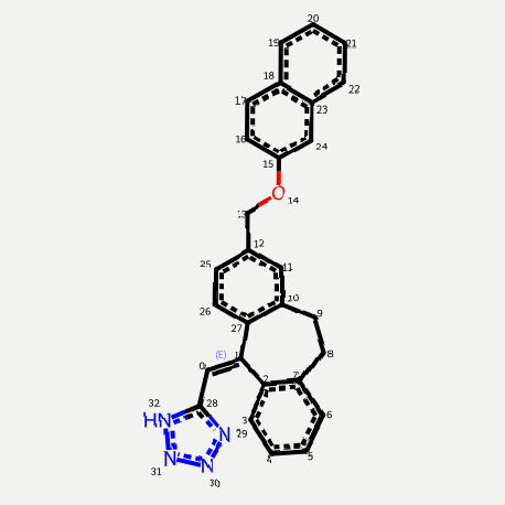 C(=C1/c2ccccc2CCc2cc(COc3ccc4ccccc4c3)ccc21)/c1nnn[nH]1